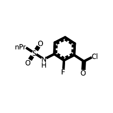 CCCS(=O)(=O)Nc1cccc(C(=O)Cl)c1F